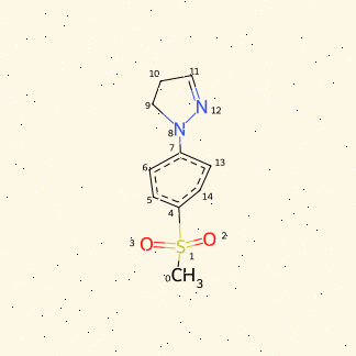 CS(=O)(=O)c1ccc(N2CCC=N2)cc1